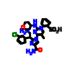 Cc1cnc(NC2CCOCC2)nc1-n1cc(C(N)=O)nc1C(CN)c1cccc(Cl)c1.O=S(=O)(O)c1ccccc1